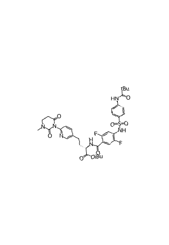 CC(C)COC(=O)[C@H](CCc1ccc(N2C(=O)CCN(C)C2=O)nc1)NC(=O)c1cc(F)c(NS(=O)(=O)c2ccc(NC(=O)C(C)(C)C)cc2)cc1F